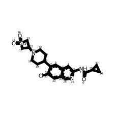 O=C(Nc1cc2cc(C3CCN(C4CS(=O)(=O)C4)CC3)c(Cl)cc2cn1)C1CC1